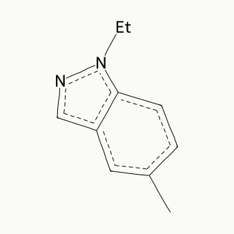 CCn1ncc2cc(C)ccc21